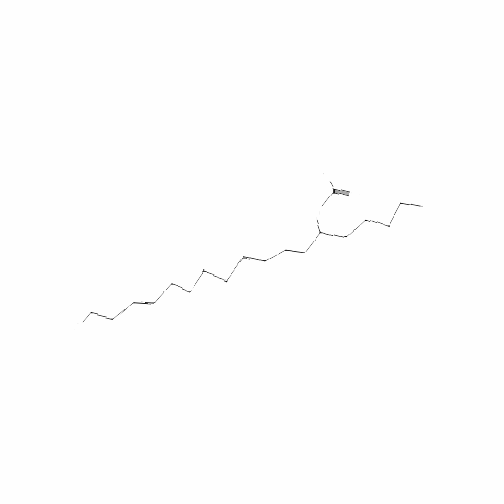 CCCCCCCCCCCCCC(CCCCC)OC(=O)O